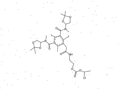 CC(Cl)OC(=O)OCCNC(=O)Cc1c(I)c(C(=O)N(C)C2COC(C)(C)O2)c(I)c(C(=O)N(C)C2COC(C)(C)O2)c1I